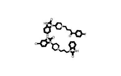 O=C(CCCN1CC=C(n2c(=O)[nH]c3ccccc32)CC1)c1ccc(F)cc1.O=c1[nH]c2ccccc2n1CCCN1CCC(n2c(=O)[nH]c3cc(Cl)ccc32)CC1